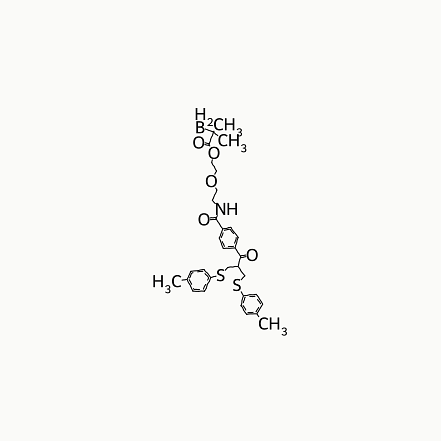 BC(C)(C)C(=O)OCCOCCNC(=O)c1ccc(C(=O)C(CSc2ccc(C)cc2)CSc2ccc(C)cc2)cc1